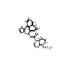 C[C@H](CC(=O)N1CCCC2C(C(=O)O)CCCC21)c1c[nH]c2cccc(-c3ccco3)c12